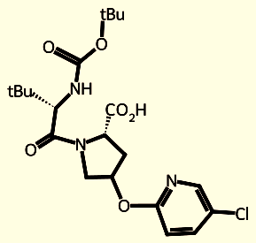 CC(C)(C)OC(=O)N[C@H](C(=O)N1CC(Oc2ccc(Cl)cn2)C[C@H]1C(=O)O)C(C)(C)C